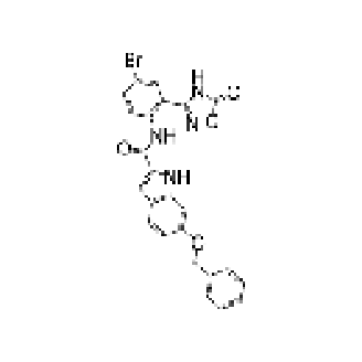 O=C(Nc1ccc(Br)cc1-c1noc(=O)[nH]1)c1cc2ccc(OCc3ccccc3)cc2[nH]1